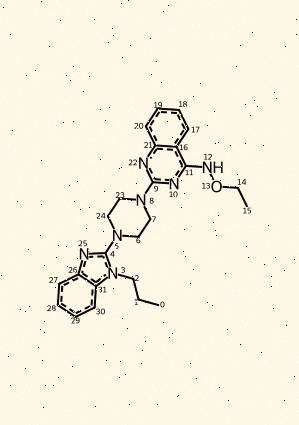 CCCn1c(N2CCN(c3nc(NOCC)c4ccccc4n3)CC2)nc2ccccc21